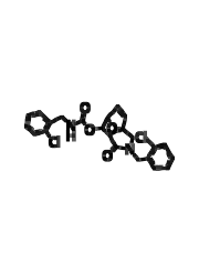 O=C(NCc1ccccc1Cl)OC1C2C=CC3(CN(Cc4ccccc4Cl)C(=O)C13)O2